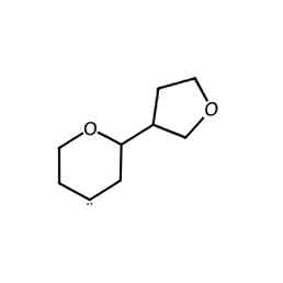 [C]1CCOC(C2CCOC2)C1